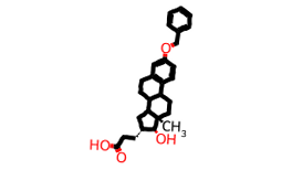 C[C@]12CCC3c4ccc(OCc5ccccc5)cc4CCC3C1C[C@@H](CCC(=O)O)[C@@H]2O